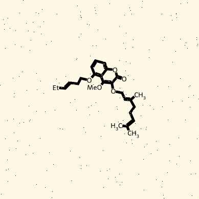 CC/C=C/CCOc1cccc2oc(=O)c(OC/C=C(\C)CCC=C(C)C)c(OC)c12